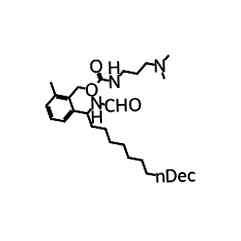 CCCCCCCCCCCCCCCCCC(NC=O)c1cccc(C)c1COC(=O)NCCCN(C)C